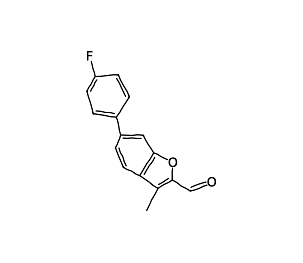 Cc1c(C=O)oc2cc(-c3ccc(F)cc3)ccc12